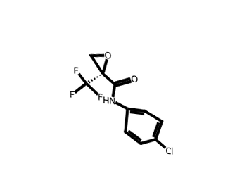 O=C(Nc1ccc(Cl)cc1)[C@@]1(C(F)(F)F)CO1